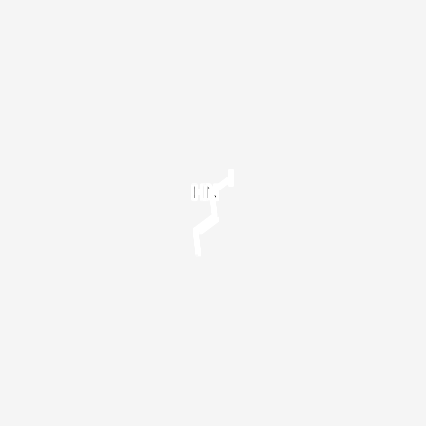 CC=CNI